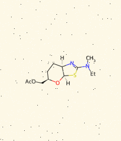 CCN(C)C1=N[C@@H]2[C][C][C@H](COC(C)=O)O[C@@H]2S1